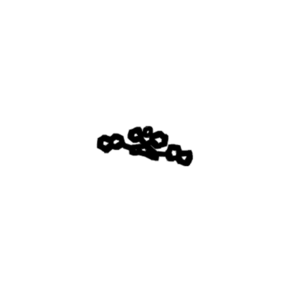 c1ccc2c(c1)Oc1ccccc1C21c2cc(-c3ccc4ccccc4c3)ccc2-c2ccc(-c3ccc4ccccc4c3)cc21